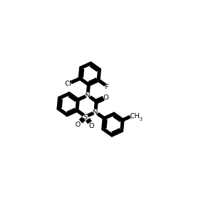 Cc1cccc(N2C(=O)N(c3c(F)cccc3Cl)c3ccccc3S2(=O)=O)c1